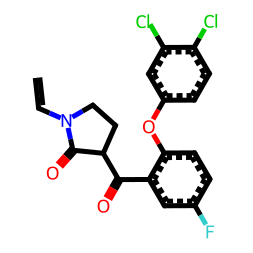 C=CN1CCC(C(=O)c2cc(F)ccc2Oc2ccc(Cl)c(Cl)c2)C1=O